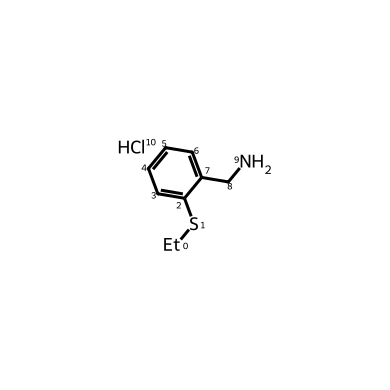 CCSc1ccccc1CN.Cl